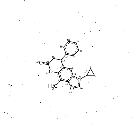 Cc1c2c(cc3c(C4CC4)coc13)C(c1ccccc1)CC(=O)O2